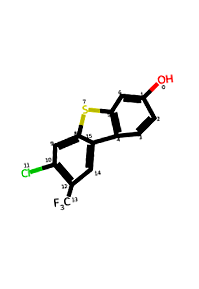 Oc1ccc2c(c1)sc1cc(Cl)c(C(F)(F)F)cc12